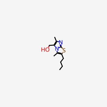 CCCCc1sc2nc(C)c(CO)n2c1C